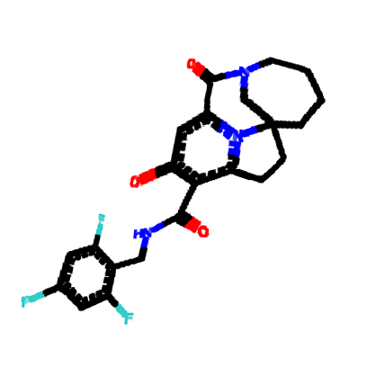 O=C(NCc1c(F)cc(F)cc1F)c1c2n3c(cc1=O)C(=O)N1CCCCC3(CC2)C1